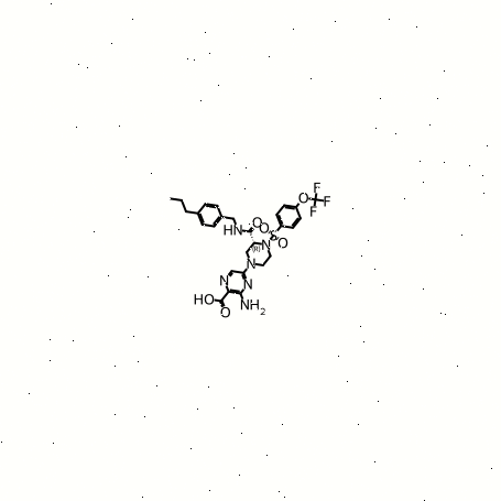 CCCc1ccc(CNC(=O)[C@H]2CN(c3cnc(C(=O)O)c(N)n3)CCN2S(=O)(=O)c2ccc(OC(F)(F)F)cc2)cc1